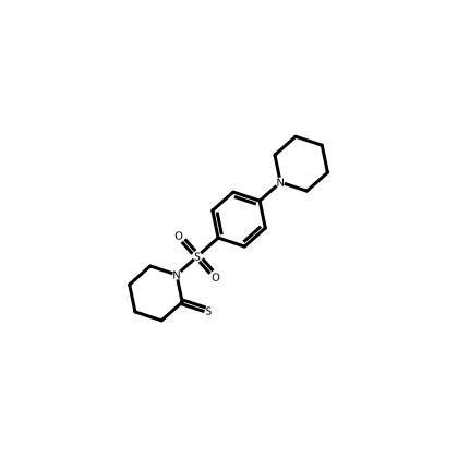 O=S(=O)(c1ccc(N2CCCCC2)cc1)N1CCCCC1=S